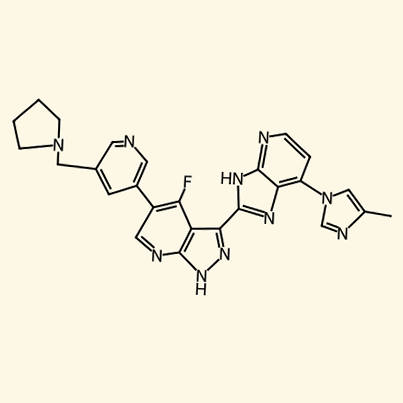 Cc1cn(-c2ccnc3[nH]c(-c4n[nH]c5ncc(-c6cncc(CN7CCCC7)c6)c(F)c45)nc23)cn1